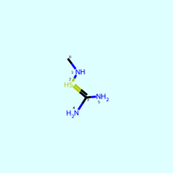 CN[SH]=C(N)N